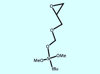 CO[Si](OC)(OCOCC1CO1)C(C)(C)C